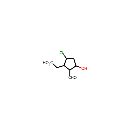 O=CC1C(O)CC(Cl)C1CC(=O)O